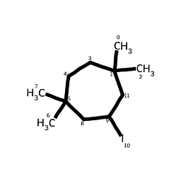 CC1(C)CCC(C)(C)CC(I)C1